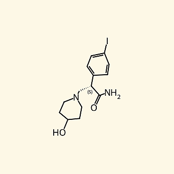 NC(=O)[C@H](CN1CCC(O)CC1)c1ccc(I)cc1